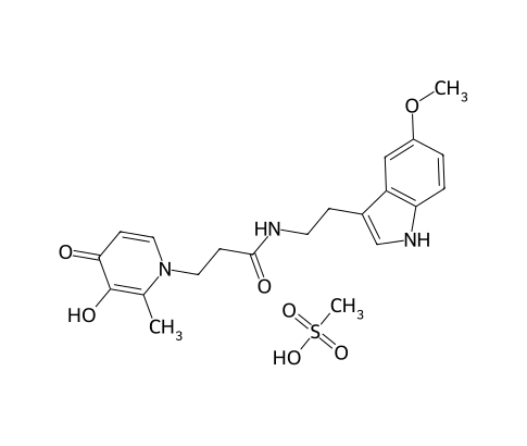 COc1ccc2[nH]cc(CCNC(=O)CCn3ccc(=O)c(O)c3C)c2c1.CS(=O)(=O)O